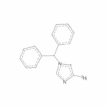 [2H]c1cn(C(c2ccccc2)c2ccccc2)cn1